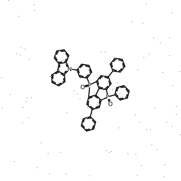 O=P1(c2ccccc2)c2cc(-c3ccccc3)cc3c2-c2c1cc(-c1ccccc1)cc2P3(=O)c1cccc(-n2c3ccccc3c3ccccc32)c1